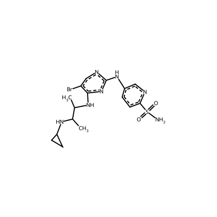 CC(Nc1nc(Nc2ccc(S(N)(=O)=O)nc2)ncc1Br)C(C)NC1CC1